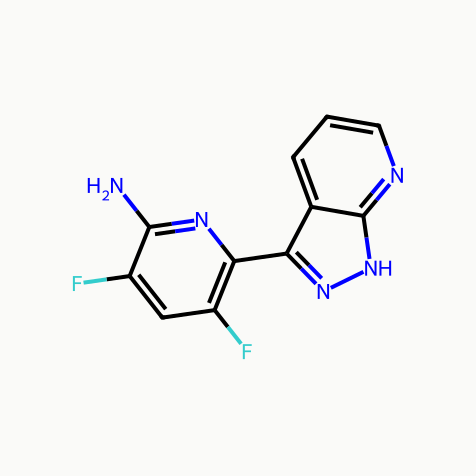 Nc1nc(-c2n[nH]c3ncccc23)c(F)cc1F